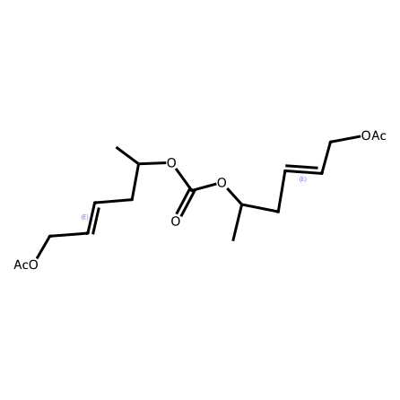 CC(=O)OC/C=C/CC(C)OC(=O)OC(C)C/C=C/COC(C)=O